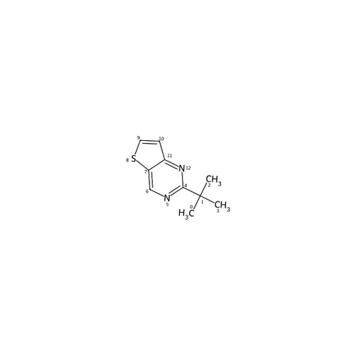 CC(C)(C)c1ncc2sccc2n1